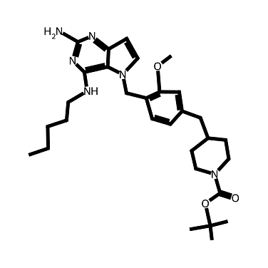 CCCCCNc1nc(N)nc2ccn(Cc3ccc(CC4CCN(C(=O)OC(C)(C)C)CC4)cc3OC)c12